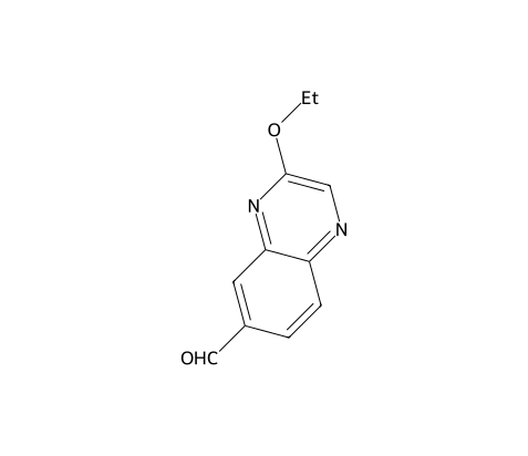 CCOc1cnc2ccc(C=O)cc2n1